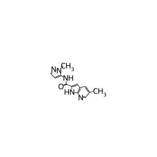 Cc1cnc2[nH]c(C(=O)Nc3ccnn3C)cc2c1